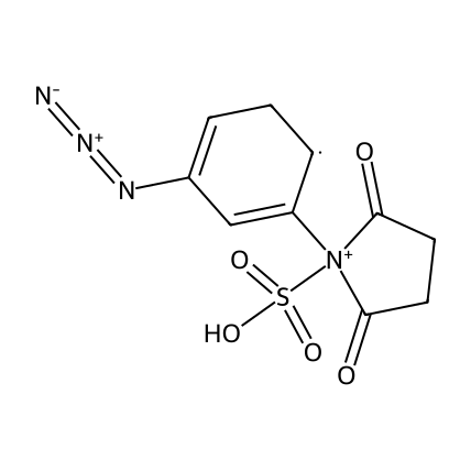 [N-]=[N+]=NC1=CC[CH]C([N+]2(S(=O)(=O)O)C(=O)CCC2=O)=C1